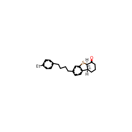 CCc1ccc(CCCCc2ccc3c(c2)S[C@H]2C(=O)CCC[C@H]32)cc1